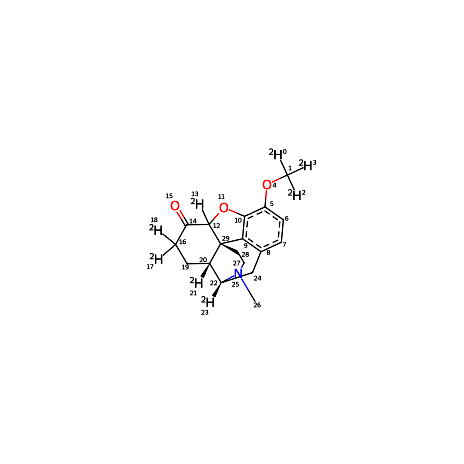 [2H]C([2H])([2H])Oc1ccc2c3c1OC1([2H])C(=O)C([2H])([2H])C[C@@]4([2H])[C@@]([2H])(C2)N(C)CC[C@]314